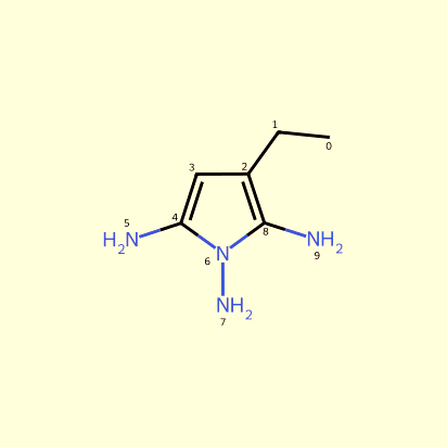 CCc1cc(N)n(N)c1N